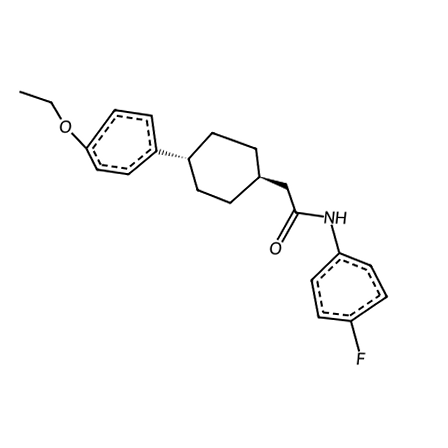 CCOc1ccc([C@H]2CC[C@H](CC(=O)Nc3ccc(F)cc3)CC2)cc1